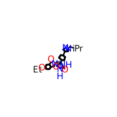 CCOc1ccc2c(c1)C(=O)N(C[C@@]1(c3ccc(-c4cnn(CC(C)C)c4)cc3)NC(=O)NC1=O)C2